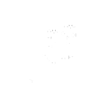 CCOC1C(OP(O)OOC)C(CC)(COC)OC1S(=O)(=O)c1ccc(Br)cc1